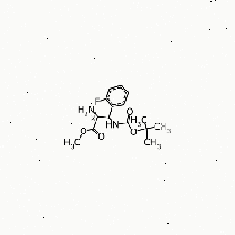 COC(=O)[C@@H](N)C(NC(=O)OC(C)(C)C)c1ccccc1F